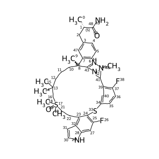 C[C@@H](Cc1cccc([C@@]2(C)CCCC(C)(C)CS(C)(C)(=O)CCc3c(c(F)cc4[nH]ccc34)Sc3ccc(F)c(c3)-c3nc2nn3C)c1)C(N)=O